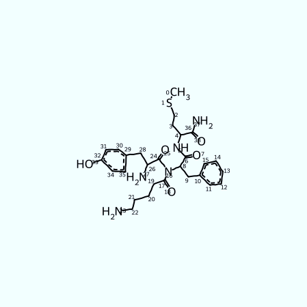 CSCCC(NC(=O)C(Cc1ccccc1)N(C(=O)CCCCN)C(=O)C(N)Cc1ccc(O)cc1)C(N)=O